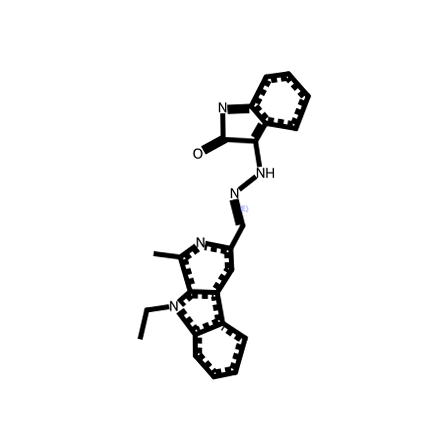 CCn1c2ccccc2c2cc(/C=N/NC3=c4ccccc4=NC3=O)nc(C)c21